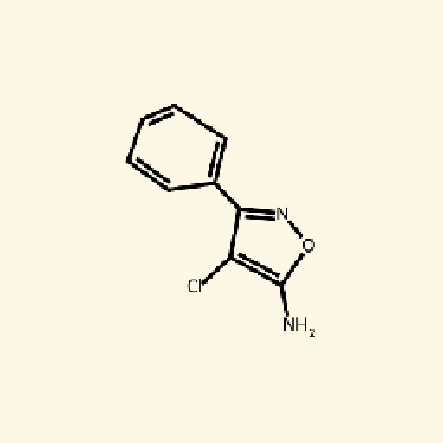 Nc1onc(-c2ccccc2)c1Cl